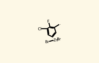 [Br][Zn][Br].[CH2]c1cccc(Cl)c1F